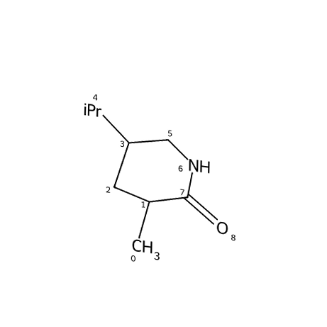 CC1CC(C(C)C)CNC1=O